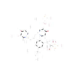 CS(=O)(=O)O.CS(=O)(=O)O.Cc1c(O)c(=O)ccn1CC(Cn1ccc(=O)c(O)c1C)c1cc(C(C)(C)C)c(O)c(C(C)(C)C)c1